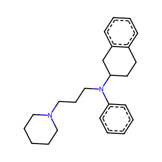 c1ccc(N(CCCN2CCCCC2)C2CCc3ccccc3C2)cc1